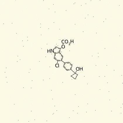 O=C(O)Oc1c[nH]c2cc(Cl)c(-c3ccc(C4(O)CCC4)cc3)cc12